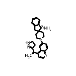 C=C(C1=NNCC1)c1ccnc2ccc(N3CCC4(CC3)Cc3ccccc3[C@H]4N)cc12